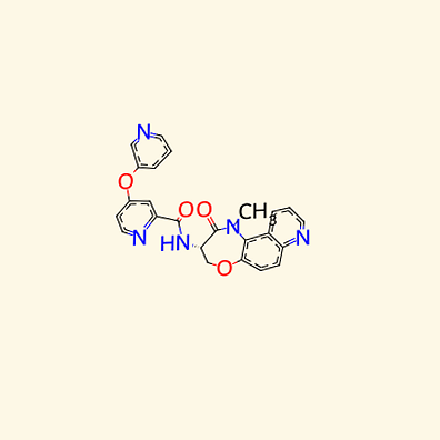 CN1C(=O)[C@@H](NC(=O)c2cc(Oc3cccnc3)ccn2)COc2ccc3ncccc3c21